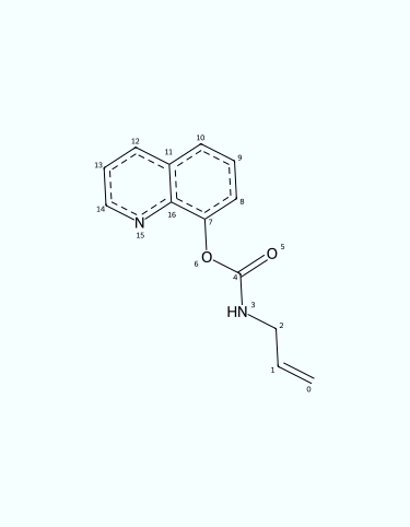 C=CCNC(=O)Oc1cccc2cccnc12